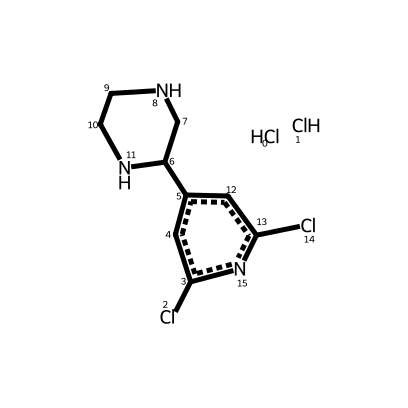 Cl.Cl.Clc1cc(C2CNCCN2)cc(Cl)n1